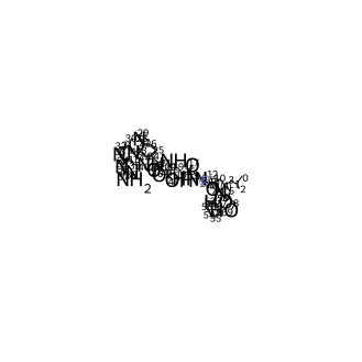 CC(C)C[C@]1(CC(O)CO)C[C@](C)(/C=N/NC(=O)CC[C@H](NC(=O)c2ccc(N(C)Cc3cnc4nc(N)nc(N)c4n3)cc2)C(=O)O)ON1Cc1ccccc1